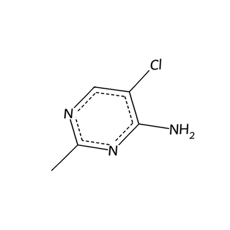 Cc1ncc(Cl)c(N)n1